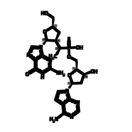 C[C@@H]([C@@H]1C[C@@H](CO)O[C@H]1n1cnc2c(=O)[nH]c(N)nc21)P(O)(=S)OC[C@H]1O[C@@H](n2ccc3c(N)ncnc32)C[C@@H]1O